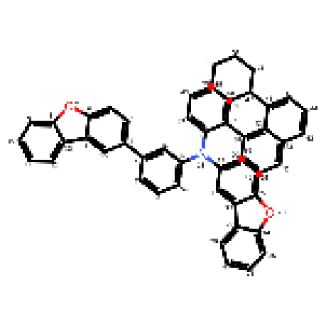 c1cc(-c2ccc3oc4ccccc4c3c2)cc(N(c2ccc3oc4ccccc4c3c2)c2ccccc2-c2cccc3cccc(C4CCCCC4)c23)c1